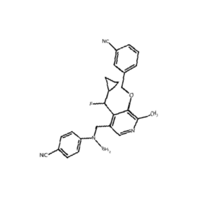 BN(Cc1cnc(C)c(OCc2cccc(C#N)c2)c1C(F)C1CC1)c1ccc(C#N)cc1